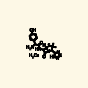 CC1(C)S[C@@H]2C(NC(=O)C(N)c3ccc(O)cc3)C(=O)N2C1c1nnn[nH]1.[CaH2]